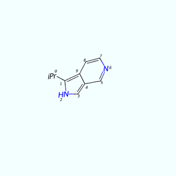 CC(C)c1[nH]cc2cnccc12